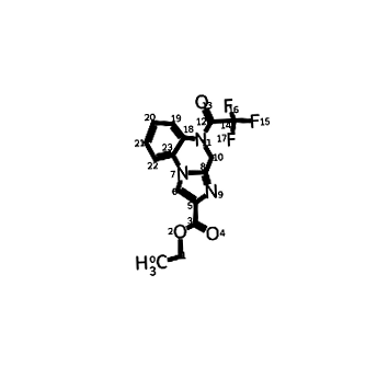 CCOC(=O)c1cn2c(n1)CN(C(=O)C(F)(F)F)c1ccccc1-2